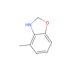 Cc1cccc2c1NCO2